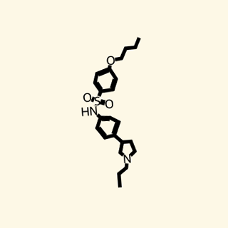 CCCCOc1ccc(S(=O)(=O)Nc2ccc(C3CCN(CCC)C3)cc2)cc1